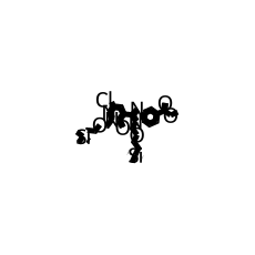 COC(=O)c1ccc2c(c1)nc(-c1cc(Cl)nn(COCC[Si](C)(C)C)c1=O)n2COCC[Si](C)(C)C